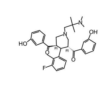 Cc1c(F)cccc1C1[C@@H](C(=O)c2cccc(O)c2)CN(CC(C)(C)N(C)C)C[C@@H]1C(=O)c1cccc(O)c1